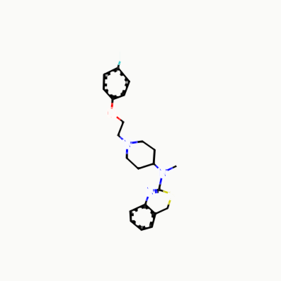 CN(C1=Nc2ccccc2CS1)C1CCN(CCOc2ccc(F)cc2)CC1